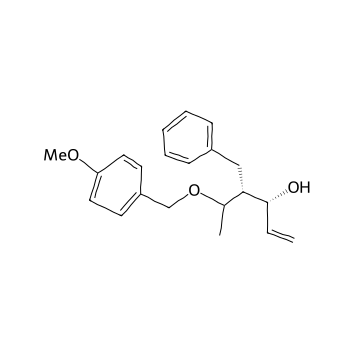 C=C[C@@H](O)[C@@H](Cc1ccccc1)C(C)OCc1ccc(OC)cc1